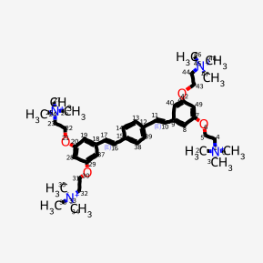 C[N+](C)(C)CCOc1cc(/C=C/c2ccc(/C=C/c3cc(OCC[N+](C)(C)C)cc(OCC[N+](C)(C)C)c3)cc2)cc(OCC[N+](C)(C)C)c1